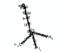 CCCOCCOCCOCCOOc1cc(C(=O)NCCCCNC(=O)CCCCNC(=O)CCCNC(=O)CCCNC(=O)c2cccc(O)c2O)cc(OCCOCCOCCOCCOC)c1OCCOCCOCCOCCOC